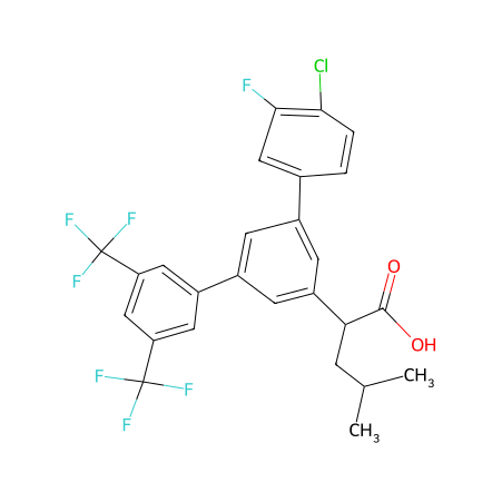 CC(C)CC(C(=O)O)c1cc(-c2cc(C(F)(F)F)cc(C(F)(F)F)c2)cc(-c2ccc(Cl)c(F)c2)c1